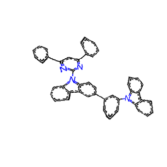 c1ccc(-c2cc(-c3ccccc3)nc(-n3c4ccccc4c4cc(-c5cccc(-n6c7ccccc7c7ccccc76)c5)ccc43)n2)cc1